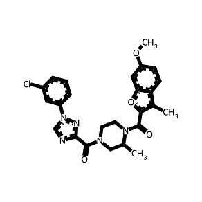 COc1ccc2c(C)c(C(=O)N3CCN(C(=O)c4ncn(-c5cccc(Cl)c5)n4)CC3C)oc2c1